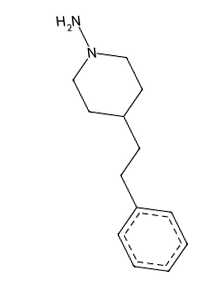 NN1CCC(CCc2ccccc2)CC1